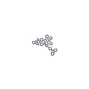 c1ccc2c(c1)-c1ccc(N(c3ccc(-c4ccc(-n5c6ccccc6c6ccccc65)cc4)cc3)c3cccc4c3-c3ccccc3C43c4ccccc4-n4c5ccccc5c5cccc3c54)cc1C21c2ccccc2-c2c1ccc1ccccc21